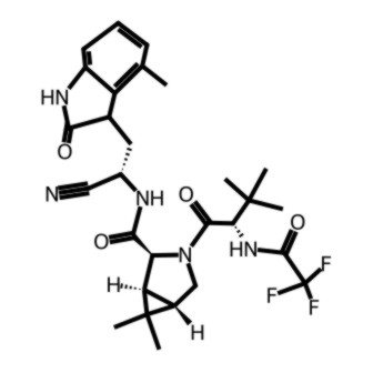 Cc1cccc2c1C(C[C@@H](C#N)NC(=O)[C@@H]1[C@H]3[C@H](CN1C(=O)[C@@H](NC(=O)C(F)(F)F)C(C)(C)C)C3(C)C)C(=O)N2